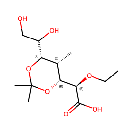 CCO[C@@H](C(=O)O)[C@@H]1OC(C)(C)O[C@H](C(O)CO)[C@@H]1C